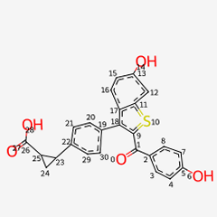 O=C(c1ccc(O)cc1)c1sc2cc(O)ccc2c1-c1ccc(C2CC2C(=O)O)cc1